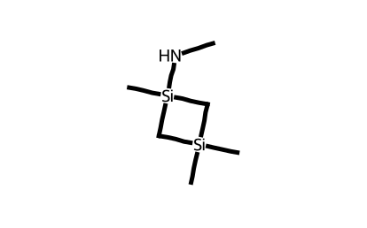 CN[Si]1(C)C[Si](C)(C)C1